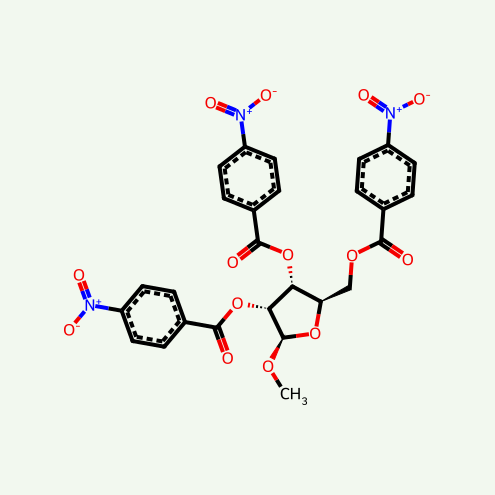 CO[C@@H]1O[C@H](COC(=O)c2ccc([N+](=O)[O-])cc2)[C@@H](OC(=O)c2ccc([N+](=O)[O-])cc2)[C@H]1OC(=O)c1ccc([N+](=O)[O-])cc1